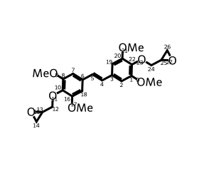 COc1cc(C=Cc2cc(OC)c(OCC3CO3)c(OC)c2)cc(OC)c1OCC1CO1